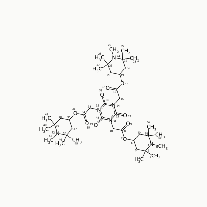 CN1C(C)(C)CC(OC(=O)Cn2c(=O)n(CC(=O)OC3CC(C)(C)N(C)C(C)(C)C3)c(=O)n(CC(=O)OC3CC(C)(C)N(C)C(C)(C)C3)c2=O)CC1(C)C